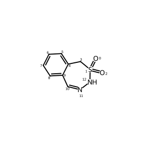 O=S1(=O)Cc2ccccc2C=NN1